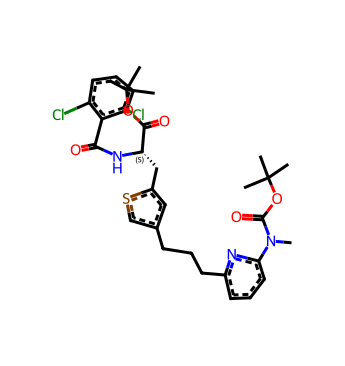 CN(C(=O)OC(C)(C)C)c1cccc(CCCc2csc(C[C@H](NC(=O)c3c(Cl)cccc3Cl)C(=O)OC(C)(C)C)c2)n1